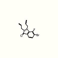 C=CCn1c(=O)c2ccc(Br)c(F)c2n1CC=C